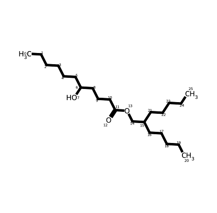 CCCCCCC(O)CCCC(=O)OCC(CCCCC)CCCCC